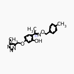 C/C(=N\OCc1ccc(C)cc1)c1ccc(OCc2nnnn2C)cc1O